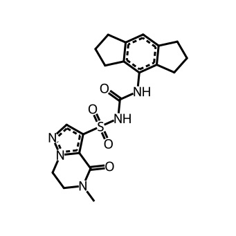 CN1CCn2ncc(S(=O)(=O)NC(=O)Nc3c4c(cc5c3CCC5)CCC4)c2C1=O